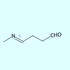 C/N=[C]/CC[C]=O